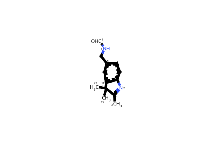 CC1=Nc2ccc(CNC=O)cc2C1(C)C